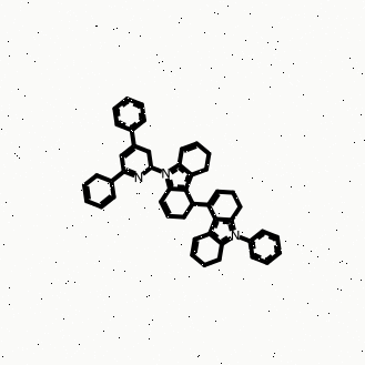 C1=CCC(C2=NC(n3c4c(c5c3C=CCC5C3=CCCc5c3c3c(n5-c5ccccc5)CCC=C3)CCC=C4)CC(c3ccccc3)=C2)C=C1